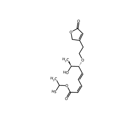 CC(S)OC(=O)/C=C\C=C\[C@@H](OCCC1=CC(=O)OC1)[C@H](C)O